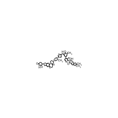 C[C@@H]1CN([C@@H]2CCN3c4cc5c(cc4OCC[C@H]3C2)CN(C2CCC(=O)NC2=O)C5)CCN1c1ccc(Nc2cc(-c3ccnc(N4CCn5c(cc6c5CC(C)(C)C6)C4=O)c3CO)cn(C)c2=O)nc1